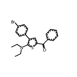 CCN(CC)c1sc(C(=O)c2ccccc2)cc1-c1ccc(Br)cc1